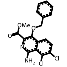 COC(=O)c1nc(N)c2c(Cl)c(Cl)ccc2c1OCc1ccccc1